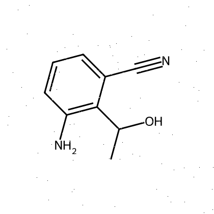 CC(O)c1c(N)cccc1C#N